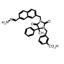 CC1(c2ccccc2)C(=O)N(Cc2ccc3ccc(C=NN)cc3c2)C(=O)N1Cc1cccc(C(=O)O)c1